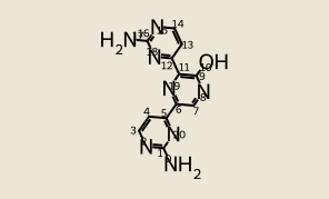 Nc1nccc(-c2cnc(O)c(-c3ccnc(N)n3)n2)n1